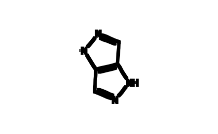 C1=N[N]c2cn[nH]c21